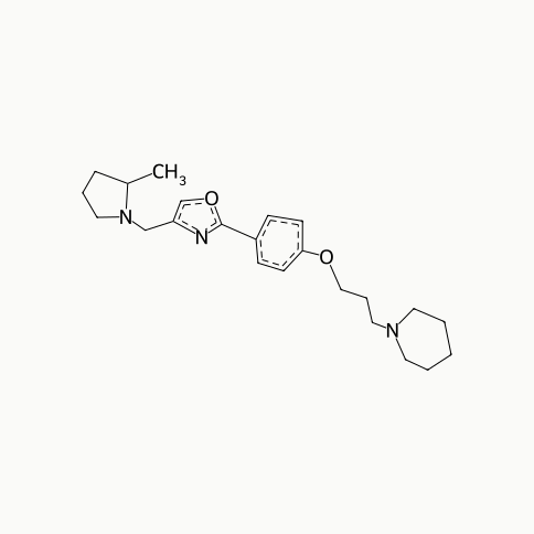 CC1CCCN1Cc1coc(-c2ccc(OCCCN3CCCCC3)cc2)n1